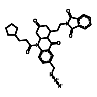 [N-]=[N+]=NCc1ccc2c(c1)C(=O)C1C(CCN3C(=O)c4ccccc4C3=O)CC(=O)CC1N2C(=O)CCC1CCCC1